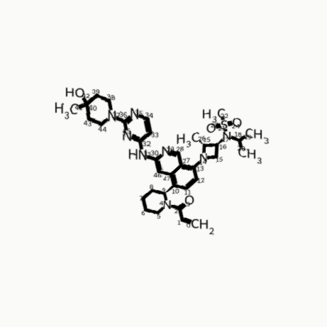 C=CC(=O)N1CCCC[C@H]1c1ccc(N2C[C@H](N(C(C)C)S(C)(=O)=O)[C@H]2C)c2cnc(Nc3ccnc(N4CCC(C)(O)CC4)n3)cc12